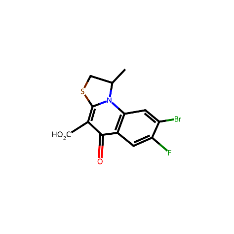 CC1CSc2c(C(=O)O)c(=O)c3cc(F)c(Br)cc3n21